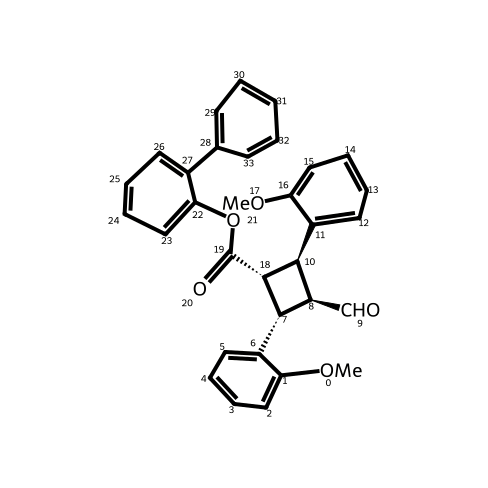 COc1ccccc1[C@H]1[C@H](C=O)[C@H](c2ccccc2OC)[C@H]1C(=O)Oc1ccccc1-c1ccccc1